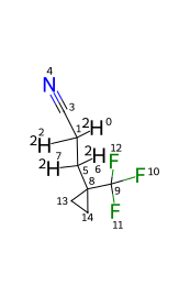 [2H]C([2H])(C#N)C([2H])([2H])C1(C(F)(F)F)CC1